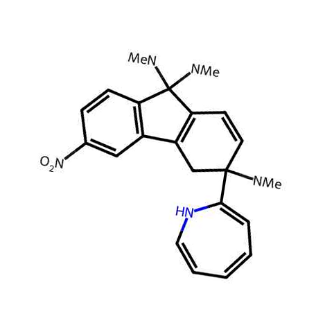 CNC1(C2=CC=CC=CN2)C=CC2=C(C1)c1cc([N+](=O)[O-])ccc1C2(NC)NC